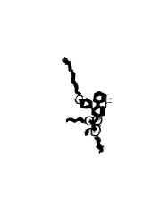 CCCCCCCCOc1ccc(-c2cc(OC(OCCCCC)[C@H](CC)OCCCCC)ccc2-c2ccccc2F)cc1